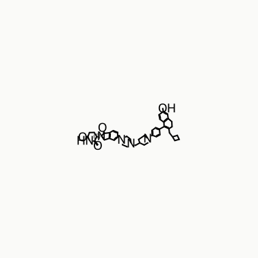 O=C1CC[C@H](N2Cc3cc(N4CCN(CC5CCN(c6ccc(C7=C(CC8CCC8)CCc8cc(O)ccc87)cc6)CC5)CC4)ccc3C2=O)C(=O)N1